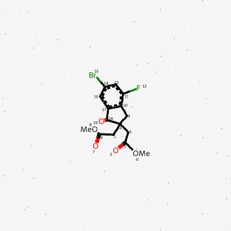 COC(=O)CC1(CC(=O)OC)Cc2c(F)cc(Br)cc2C1=O